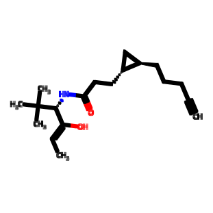 C#CCCC[C@@H]1C[C@H]1CCC(=O)N[C@H](C(O)=CC)C(C)(C)C